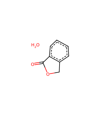 O.O=C1OCc2ccccc21